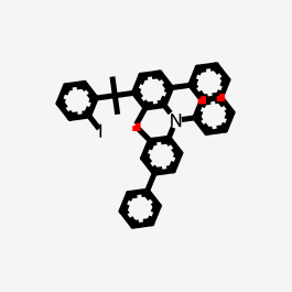 Cc1cc(-c2ccccc2)ccc1N(c1ccccc1)c1c(-c2ccccc2)ccc(C(C)(C)c2ccccc2I)c1C